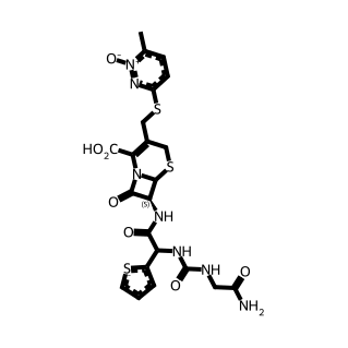 Cc1ccc(SCC2=C(C(=O)O)N3C(=O)[C@H](NC(=O)C(NC(=O)NCC(N)=O)c4cccs4)C3SC2)n[n+]1[O-]